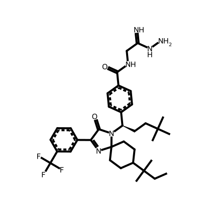 CCC(C)(C)C1CCC2(CC1)N=C(c1cccc(C(F)(F)F)c1)C(=O)N2[C@H](CCC(C)(C)C)c1ccc(C(=O)NCC(=N)NN)cc1